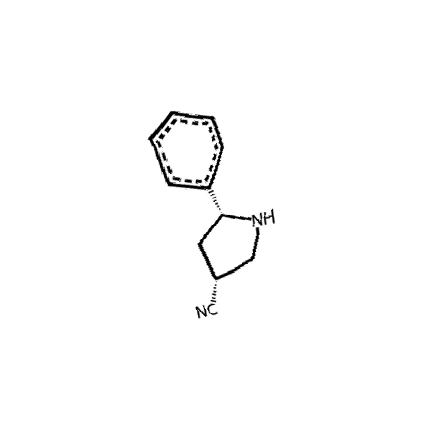 N#C[C@H]1CN[C@@H](c2ccccc2)C1